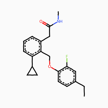 CCc1ccc(OCc2c(CC(=O)NC)cccc2C2CC2)c(F)c1